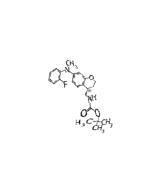 CN(c1ccc2c(c1)OCC[C@H]2CNC(=O)OC(C)(C)C)c1ccccc1F